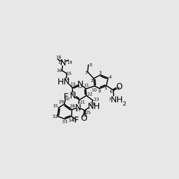 CCc1ccc(C(N)=O)cc1-c1nc(NCCN(C)C)nc2c1CNC(=O)N2c1c(F)cccc1F